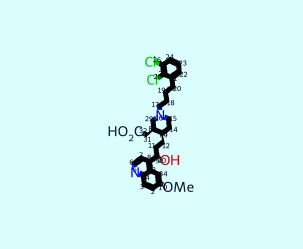 COc1ccc2nccc([C@H](O)CC[C@@H]3CCN(CCCCc4cccc(Cl)c4Cl)C[C@@H]3CC(=O)O)c2c1